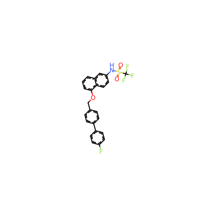 O=S(=O)(Nc1ccc2c(OCc3ccc(-c4ccc(F)cc4)cc3)cccc2c1)C(F)(F)F